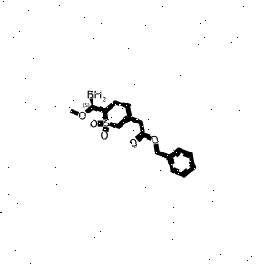 B[C@H](OC)C1CCC(CC(=O)OCc2ccccc2)=CS1(=O)=O